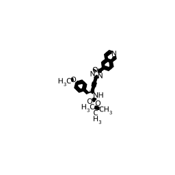 COc1ccc(C[C@@H](C#Cc2noc(-c3ccc4cnccc4c3)n2)NC(=O)OC(C)(C)C)cc1